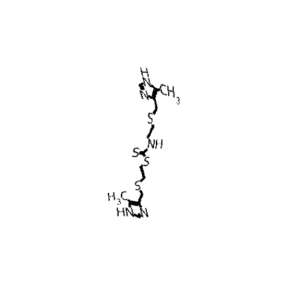 Cc1[nH]cnc1CSCCNC(=S)SCCSCc1nc[nH]c1C